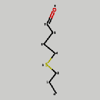 CCCSCCC[C]=O